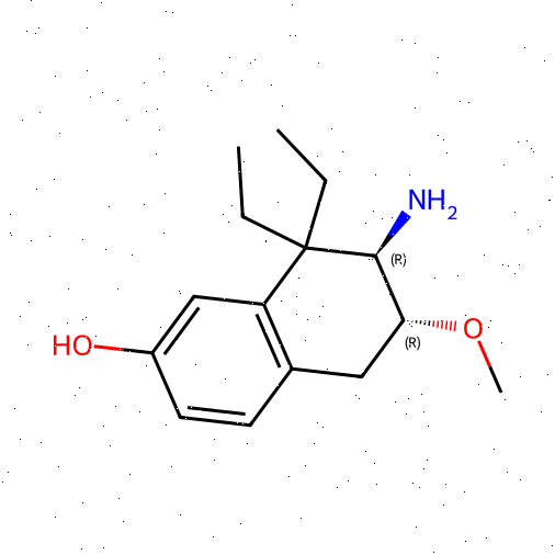 CCC1(CC)c2cc(O)ccc2C[C@@H](OC)[C@@H]1N